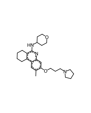 Cc1cc2c3c(c(NC4CCOCC4)nc2cc1OCCCN1CCCC1)CCCC3